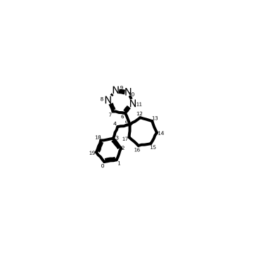 c1ccc(CC2(c3cnnnn3)CCCCCC2)cc1